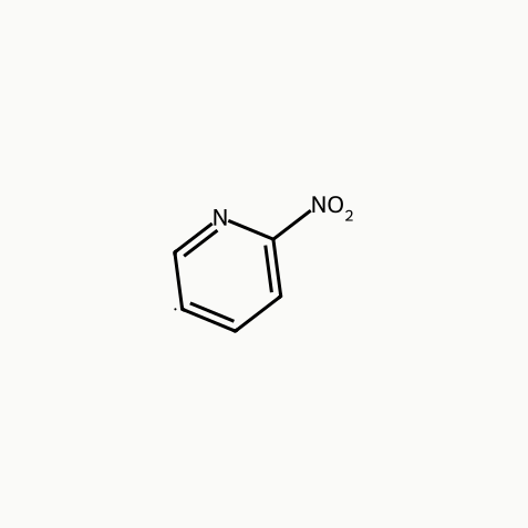 O=[N+]([O-])c1cc[c]cn1